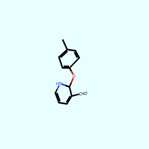 Cc1ccc(OC2NC=CC=C2C=O)cc1